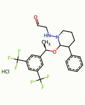 C[C@@H](OC1C(c2ccccc2)CCCN1NCC=O)c1cc(C(F)(F)F)cc(C(F)(F)F)c1.Cl